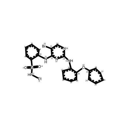 CCNS(=O)(=O)c1ccccc1Nc1nc(Nc2ccccc2Oc2ccccc2)ncc1Br